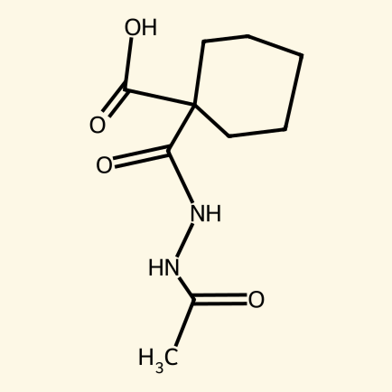 CC(=O)NNC(=O)C1(C(=O)O)CCCCC1